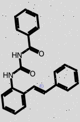 O=C(NC(=O)c1ccccc1)Nc1ccccc1/C=C/c1ccccc1